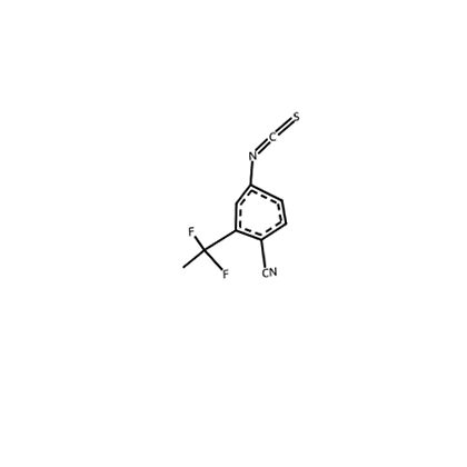 CC(F)(F)c1cc(N=C=S)ccc1C#N